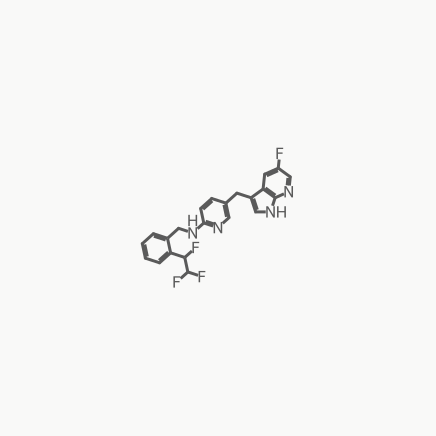 Fc1cnc2[nH]cc(Cc3ccc(NCc4ccccc4C(F)C(F)F)nc3)c2c1